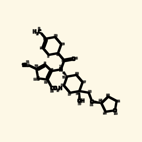 CC1=CCC(C(=O)N(c2cc(C(C)(C)C)sc2C(=O)O)[C@H]2CC[C@](O)(CO[C@H]3CCOC3)CC2)CC1